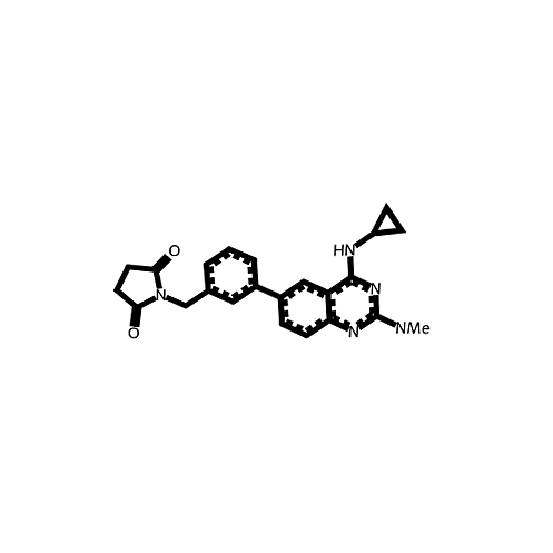 CNc1nc(NC2CC2)c2cc(-c3cccc(CN4C(=O)CCC4=O)c3)ccc2n1